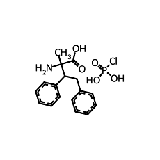 CC(N)(C(=O)O)C(Cc1ccccc1)c1ccccc1.O=P(O)(O)Cl